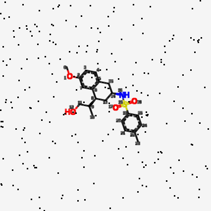 COc1ccc2c(c1)[C@H](C(C)CO)C[C@H](NS(=O)(=O)c1ccc(C)cc1)C2